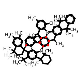 Cc1cc(C)c2c(c1)C(C)c1cc(N3c4cc(C5(C)CCC(C)(C)c6cc(C)c(C)cc65)c(C(C)(C)C)cc4C4(C)CCCCC34C)ccc1B2c1cc2c(cc1C(C)c1ccc3c(c1)sc1ccccc13)C(C)(C)c1ccccc1C2(C)C